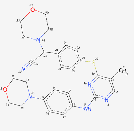 Cc1cnc(Nc2ccc(N3CCOCC3)cc2)nc1Sc1ccc(C(C#N)N2CCOCC2)cc1